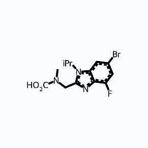 CC(C)n1c(CN(C)C(=O)O)nc2c(F)cc(Br)cc21